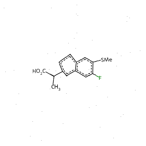 CSc1cc2ccc(C(C)C(=O)O)cc2cc1F